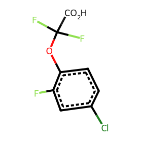 O=C(O)C(F)(F)Oc1ccc(Cl)cc1F